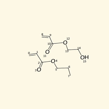 C=CC(=O)OCCC.C=CC(=O)OCCO